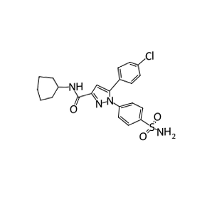 NS(=O)(=O)c1ccc(-n2nc(C(=O)NC3CCCCC3)cc2-c2ccc(Cl)cc2)cc1